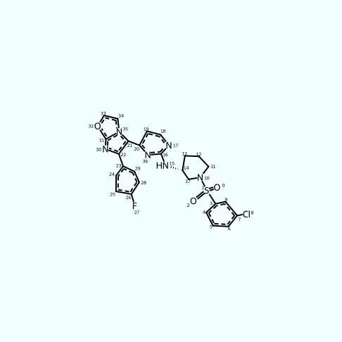 O=S(=O)(c1cccc(Cl)c1)N1CCC[C@@H](Nc2nccc(-c3c(-c4ccc(F)cc4)nc4occn34)n2)C1